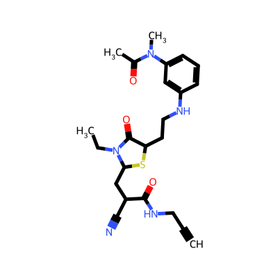 C#CCNC(=O)C(C#N)CC1SC(CCNc2cccc(N(C)C(C)=O)c2)C(=O)N1CC